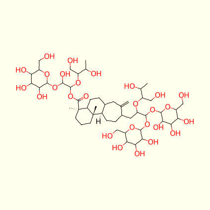 C=C1CC2CCC3[C@](C)(C(=O)OC(OC(CO)C(C)O)C(O)OC4OC(CO)C(O)C(O)C4O)CCC[C@@]3(C)[C@@H]2CCC1CC(OC(CO)C(C)O)C(OC1OC(CO)C(O)C(O)C1O)OC1OC(CO)C(O)C(O)C1O